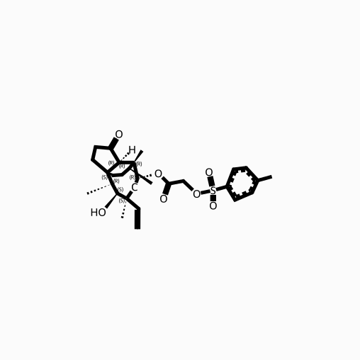 C=C[C@]1(C)C[C@@H](OC(=O)COS(=O)(=O)c2ccc(C)cc2)[C@]2(C)[C@H](C)CC[C@]3(CCC(=O)[C@H]32)[C@@H](C)[C@@H]1O